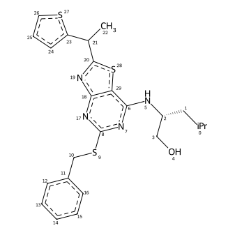 CC(C)C[C@H](CO)Nc1nc(SCc2ccccc2)nc2nc(C(C)c3cccs3)sc12